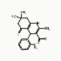 CC1=C(C(=O)O)C(c2ccccc2C)C2=C(CC(C)(C)CC2=O)N1